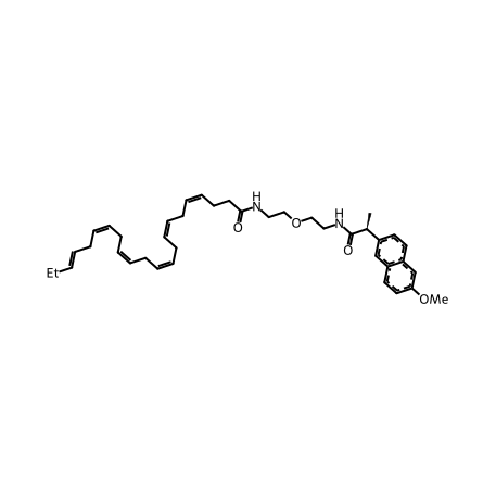 CCC=CC/C=C\C/C=C\C/C=C\C/C=C\C/C=C\CCC(=O)NCCOCCNC(=O)[C@@H](C)c1ccc2cc(OC)ccc2c1